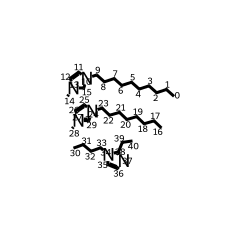 CCCCCCCCCCN1C=CN(C)C1.CCCCCCCCn1cc[n+](C)c1.CCCCn1ccnc1CC